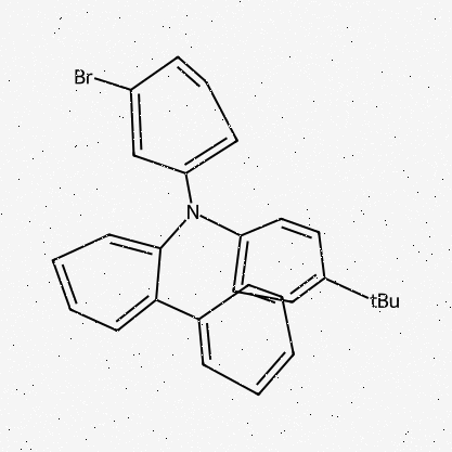 CC(C)(C)c1ccc(N(c2cccc(Br)c2)c2ccccc2-c2ccccc2)cc1